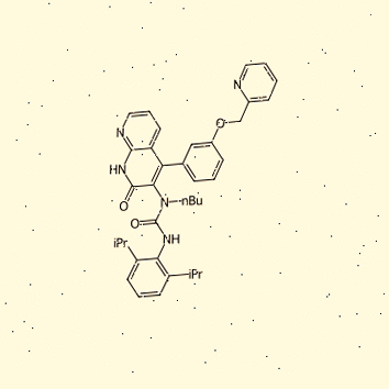 CCCCN(C(=O)Nc1c(C(C)C)cccc1C(C)C)c1c(-c2cccc(OCc3ccccn3)c2)c2cccnc2[nH]c1=O